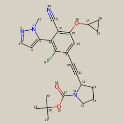 Cn1nccc1-c1c(F)c(C#CC2CCCN2C(=O)OC(C)(C)C)cc(OC2CC2)c1C#N